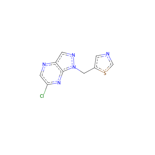 Clc1cnc2cnn(Cc3cncs3)c2n1